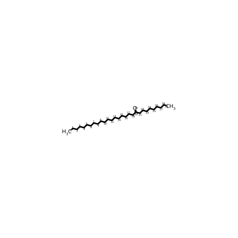 CCCCCCCCCCCCCCCCCCCC(=O)CCCCCCCCC